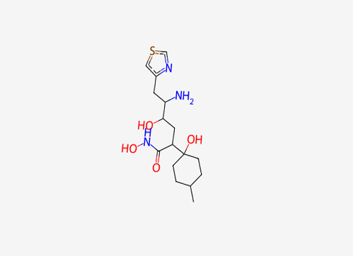 CC1CCC(O)(C(CC(O)C(N)Cc2cscn2)C(=O)NO)CC1